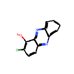 Oc1c(Cl)ccc2nc3ccccc3nc12